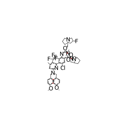 COc1ccc(CN(Cc2ccc(OC)cc2)c2cc(C)c(C(F)(F)F)c(-c3c(Cl)cc4c(N5CC6CCC(C5)N6C(=O)OC(C)(C)C)nc(OC[C@@]56CCCN5C[C@@H](F)C6)nc4c3F)n2)cc1